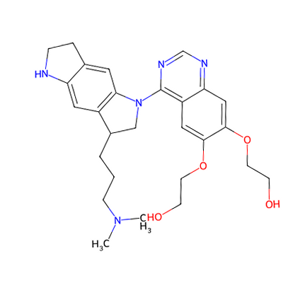 CN(C)CCCC1CN(c2ncnc3cc(OCCO)c(OCCO)cc23)c2cc3c(cc21)NCC3